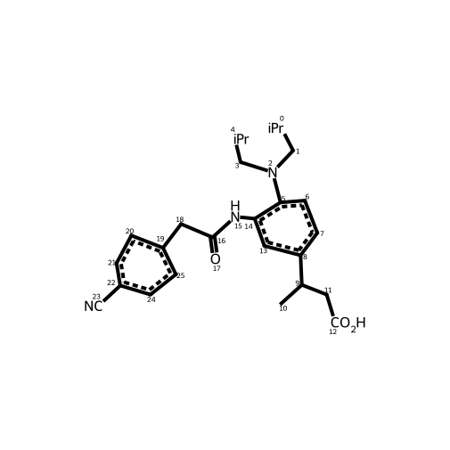 CC(C)CN(CC(C)C)c1ccc(C(C)CC(=O)O)cc1NC(=O)Cc1ccc(C#N)cc1